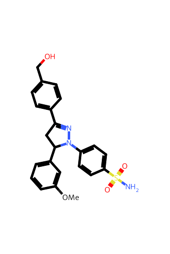 COc1cccc(C2CC(c3ccc(CO)cc3)=NN2c2ccc(S(N)(=O)=O)cc2)c1